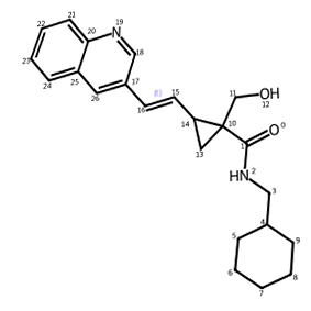 O=C(NCC1CCCCC1)C1(CO)CC1/C=C/c1cnc2ccccc2c1